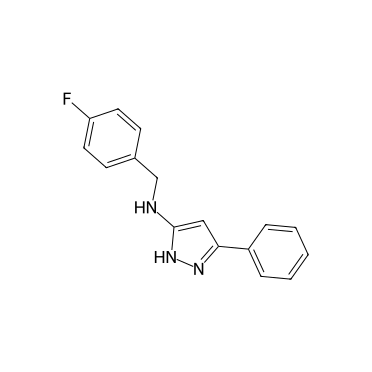 Fc1ccc(CNc2cc(-c3ccccc3)n[nH]2)cc1